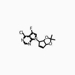 CC1(C)OC2C=CC(n3cc(F)c4c(Cl)ncnc43)C2O1